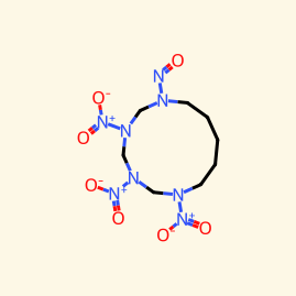 O=NN1CCCCCN([N+](=O)[O-])CN([N+](=O)[O-])CN([N+](=O)[O-])C1